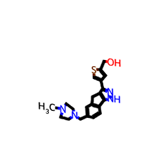 CN1CCN(Cc2ccc3c(c2)Cc2c(-c4csc(CO)c4)n[nH]c2-3)CC1